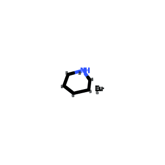 C1CCNCC1.[Eu]